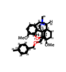 COc1ccc2c3c1O[C@H]1[C@@]4(OC)CCC5(C[C@@H]4COCc4ccc(C)cc4)[C@@H](C2)N(C)CC[C@]315